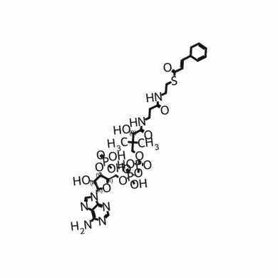 CC(C)(COP(=O)(O)OP(=O)(O)OC[C@H]1O[C@@H](n2cnc3c(N)ncnc32)[C@H](O)[C@@H]1OP(=O)(O)O)[C@@H](O)C(=O)NCCC(=O)NCCSC(=O)C=CC1C=CC=CC1